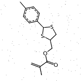 C=C(C)C(=O)OCC1CSC(c2ccc(C)cc2)S1